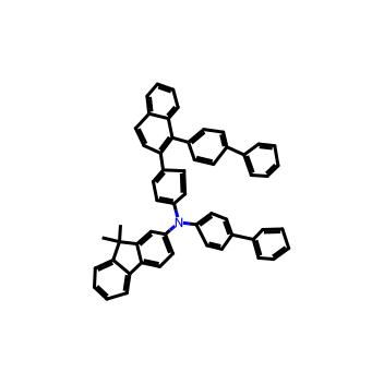 CC1(C)c2ccccc2-c2ccc(N(c3ccc(-c4ccccc4)cc3)c3ccc(-c4ccc5ccccc5c4-c4ccc(-c5ccccc5)cc4)cc3)cc21